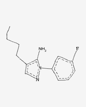 CCCCc1cnn(-c2cccc(F)c2)c1N